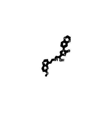 COc1ccc2nccc(CCNC[C@H](O)C3CN(c4ccc5c(c4)OCCO5)C(=O)O3)c2n1